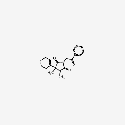 CN1C(=O)N(CC(=O)c2ccccc2)C(=O)C1(C)C1=CCCCC1